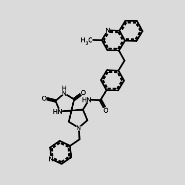 Cc1cc(Cc2ccc(C(=O)NC3CN(Cc4ccncc4)CC34NC(=O)NC4=O)cc2)c2ccccc2n1